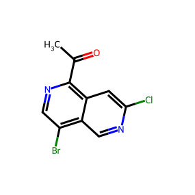 CC(=O)c1ncc(Br)c2cnc(Cl)cc12